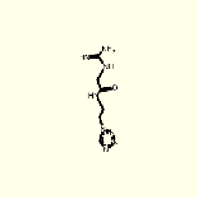 N=C(N)NCC(=O)NCCn1cnnn1